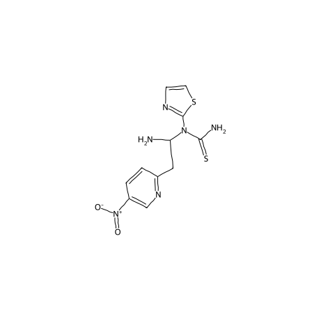 NC(=S)N(c1nccs1)C(N)Cc1ccc([N+](=O)[O-])cn1